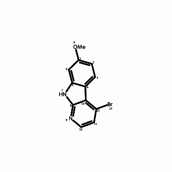 COc1ccc2c(c1)[nH]c1nccc(Br)c12